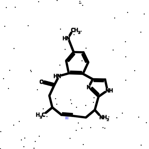 CNc1ccc2c(c1)NC(=O)CC(C)/C=C/CC(N)c1nc-2c[nH]1